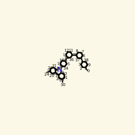 Cc1ccc(-c2cccc(-c3cccc(-c4ccc(-n5c6ccc(C)cc6c6cc(C)ccc65)cc4)c3)c2)cc1